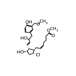 COCc1cc(CC(O)/C=C/[C@@H]2[C@@H](C/C=C\CCCC(=O)OC)[C@H](Cl)C[C@H]2O)ccc1O